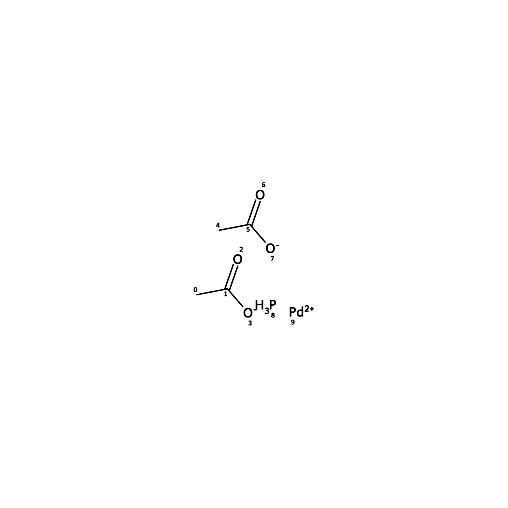 CC(=O)[O-].CC(=O)[O-].P.[Pd+2]